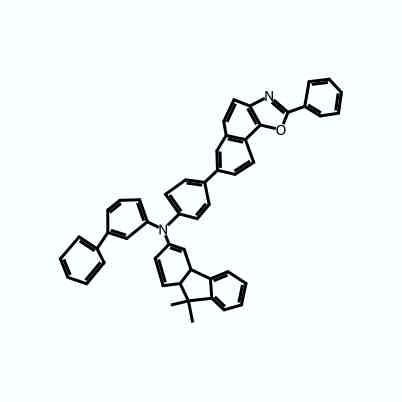 CC1(C)c2ccccc2C2C=C(N(c3ccc(-c4ccc5c(ccc6nc(-c7ccccc7)oc65)c4)cc3)c3cccc(-c4ccccc4)c3)C=CC21